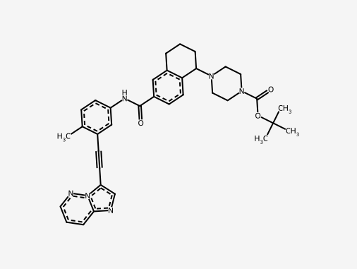 Cc1ccc(NC(=O)c2ccc3c(c2)CCCC3N2CCN(C(=O)OC(C)(C)C)CC2)cc1C#Cc1cnc2cccnn12